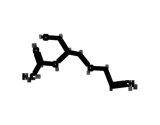 C=CCOCC(C[O])OC(C)=O